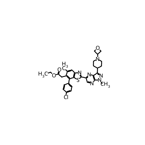 CCOC(=O)Cc1c(C)cc2nc(-c3cnc4c(n3)c(C3CCN(C5COC5)CC3)nn4C)sc2c1-c1ccc(Cl)cc1